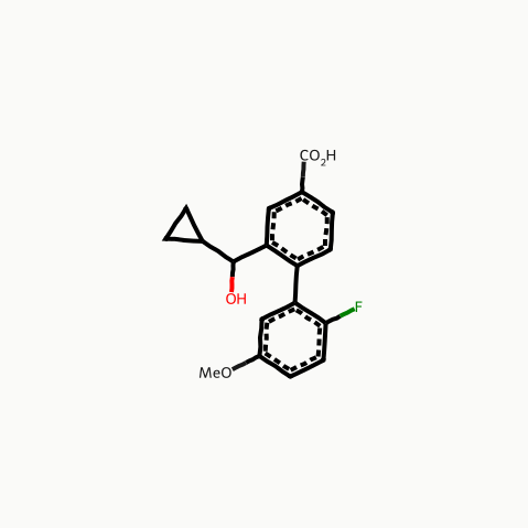 COc1ccc(F)c(-c2ccc(C(=O)O)cc2C(O)C2CC2)c1